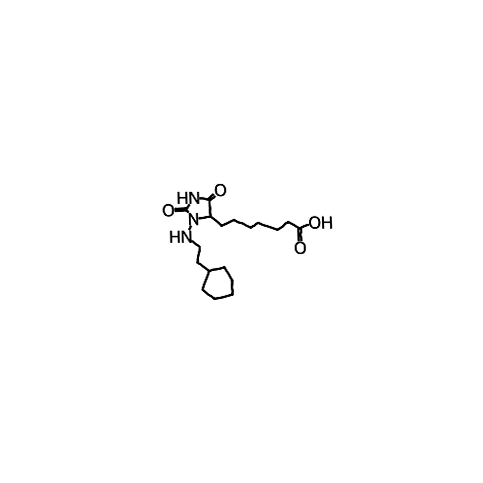 O=C(O)CCCCCCC1C(=O)NC(=O)N1NCCC1CCCCC1